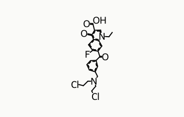 CCn1cc(C(=O)O)c(=O)c2cc(F)c(C(=O)c3cccc(CN(CCCl)CCCl)c3)cc21